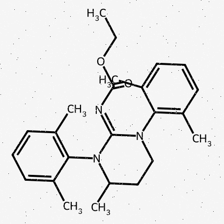 CCOC(=O)N=C1N(c2c(C)cccc2C)CCC(C)N1c1c(C)cccc1C